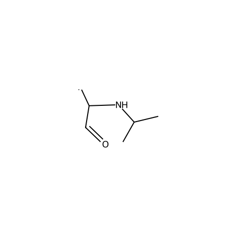 [CH2]C(C=O)NC(C)C